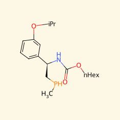 CCCCCCOC(=O)N[C@@H](CPC)c1cccc(OC(C)C)c1